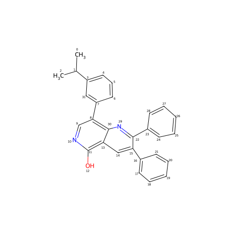 CC(C)c1cccc(-c2cnc(O)c3cc(-c4ccccc4)c(-c4cc[c]cc4)nc23)c1